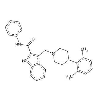 Cc1cccc(C)c1C1CCN(Cc2c(C(=O)Nc3ccccc3)[nH]c3ccccc23)CC1